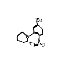 CC(C)(C)c1ccc(P(Cl)Cl)c(N2CCCCC2)c1